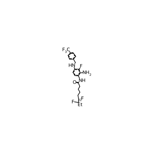 CCC(F)[C@@H](F)CCCCC(=O)Nc1ccc(NCc2ccc(C(F)(F)F)cc2)c(F)c1N